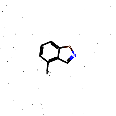 CC(C)c1cccc2sncc12